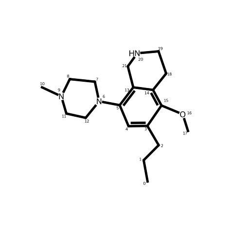 CCCc1cc(N2CCN(C)CC2)c2c(c1OC)CCNC2